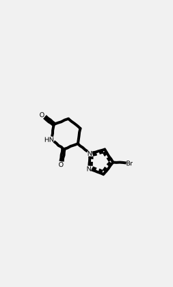 O=C1CCC(n2cc(Br)cn2)C(=O)N1